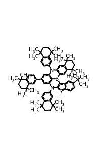 CC(C)(C)c1ccc2sc3c(c2c1)B1c2cc4c(cc2N(c2ccc5c(c2)C(C)(C)CCC5(C)C)c2cc(-c5ccc6c(c5)C(C)(C)CCC6(C)C)cc(c21)N3c1ccc2c(c1)C(C)(C)CCC2(C)C)C(C)(C)CCC4(C)C